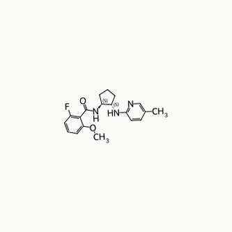 COc1cccc(F)c1C(=O)N[C@H]1CCC[C@@H]1Nc1ccc(C)cn1